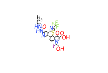 CCNC(=O)Nc1cc(-c2nc(C(F)(F)F)cs2)c(-c2ccc3c(c2)c(=O)c(C(=O)O)cn3[C@H](I)CO)cn1